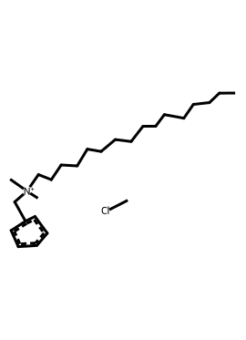 CCCCCCCCCCCCCCCC[N+](C)(C)Cc1ccccc1.CCl